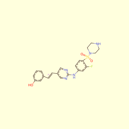 O=S(=O)(c1ccc(Nc2ncc(/C=C/c3cccc(O)c3)cn2)cc1F)N1CCNCC1